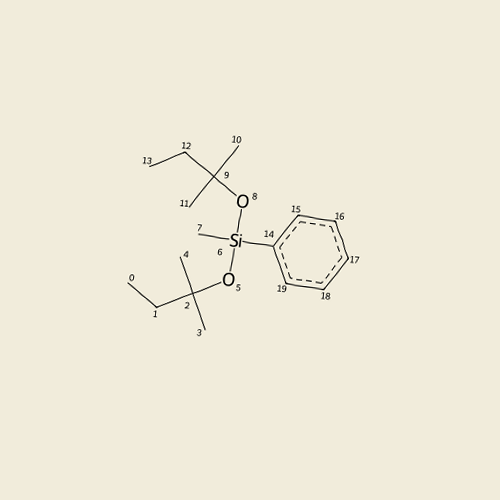 CCC(C)(C)O[Si](C)(OC(C)(C)CC)c1ccccc1